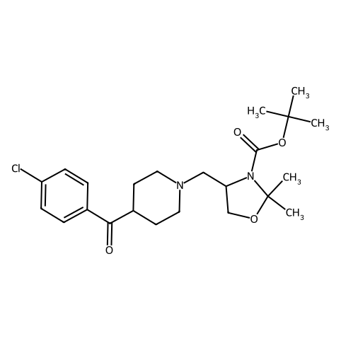 CC(C)(C)OC(=O)N1C(CN2CCC(C(=O)c3ccc(Cl)cc3)CC2)COC1(C)C